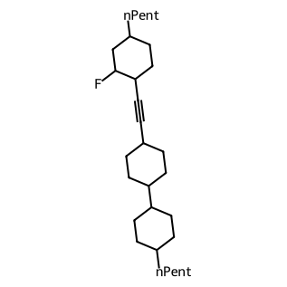 CCCCCC1CCC(C2CCC(C#CC3CCC(CCCCC)CC3F)CC2)CC1